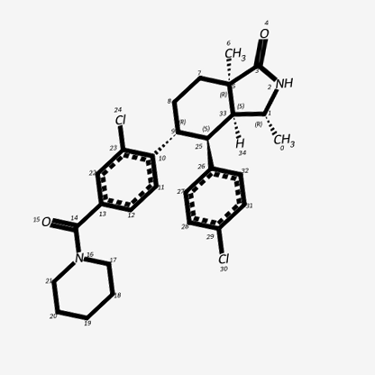 C[C@H]1NC(=O)[C@]2(C)CC[C@@H](c3ccc(C(=O)N4CCCCC4)cc3Cl)[C@H](c3ccc(Cl)cc3)[C@H]12